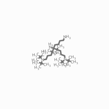 CC(C)(C)N(CCCC(C)(C)C(N)(CCCCN)C(C)(C)CCCN(C(C)(C)C)C(C)(C)C)C(C)(C)C